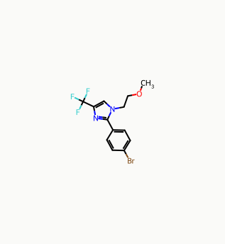 COCCn1cc(C(F)(F)F)nc1-c1ccc(Br)cc1